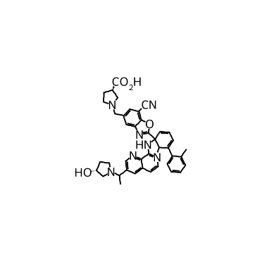 Cc1ccccc1C1=CC=CC(Nc2nccc3cc(C(C)N4CC[C@@H](O)C4)cnc23)(c2nc3cc(CN4CC[C@@H](C(=O)O)C4)cc(C#N)c3o2)C1C